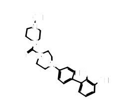 Cc1cccc(-c2ccc(N3CCN(C(=O)N4CCN(C)CC4)CC3)cc2)c1C